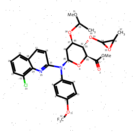 COC(=O)[C@H]1O[C@@H](N(c2ccc(OC(F)(F)F)cc2)c2ccc3cccc(Cl)c3n2)C[C@@H](OC(C)OC)[C@@H]1OC1OC1C